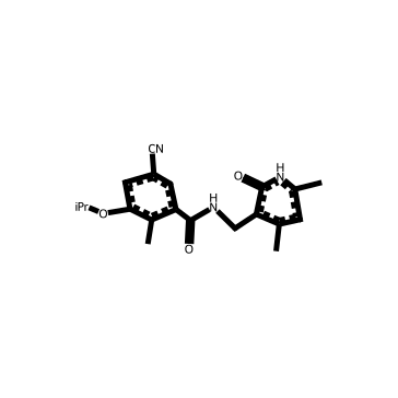 Cc1cc(C)c(CNC(=O)c2cc(C#N)cc(OC(C)C)c2C)c(=O)[nH]1